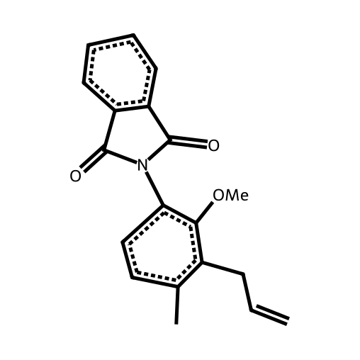 C=CCc1c(C)ccc(N2C(=O)c3ccccc3C2=O)c1OC